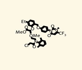 CCc1ccc(COc2ccc(-n3c(=O)cc(C(F)(F)F)n(C)c3=O)cc2)c(OC(C)C(=O)OC)c1.COCCN(C(=O)CCl)c1c(C)cccc1C